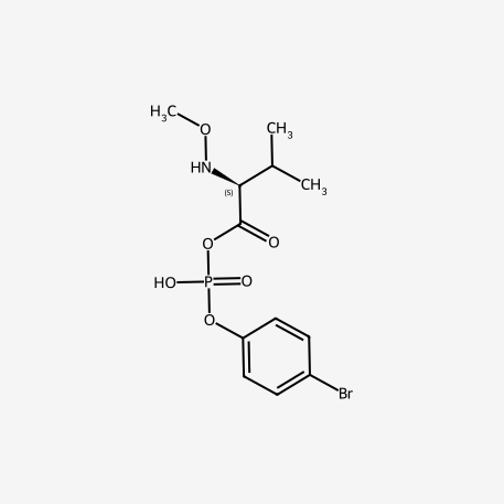 CON[C@H](C(=O)OP(=O)(O)Oc1ccc(Br)cc1)C(C)C